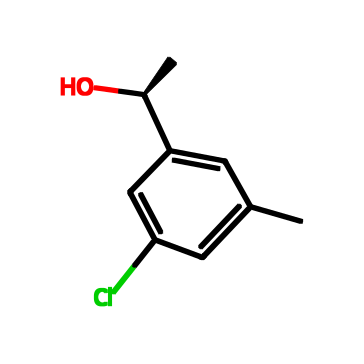 Cc1cc(Cl)cc([C@H](C)O)c1